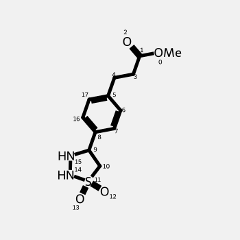 COC(=O)CCc1ccc(C2CS(=O)(=O)NN2)cc1